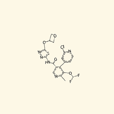 Cc1ncc(C(=O)Nc2nnc(OC3COC3)s2)c(-c2ccnc(Cl)c2)c1OC(F)F